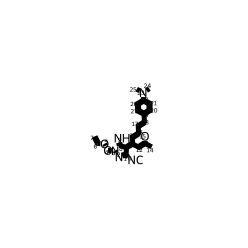 [C-]#[N+]C1=NN(OOC=C)C(=N)/C1=C1/C=C(C)OC(/C=C/c2ccc(N(C)C)cc2)=C1